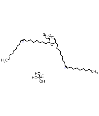 CCCCCCCC/C=C\CCCCCCCC(C=C=O)OC(C=C=O)CCCCCCC/C=C\CCCCCCCC.O=P(O)(O)O